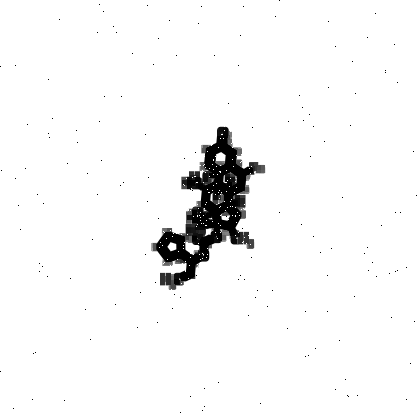 CCC(OC(=O)O[C@]1(C(=O)O)[C@H](C)C[C@H]2[C@@H]3C[C@H](F)C4=CC(=O)C=C[C@]4(C)[C@@]3(F)[C@@H](O)C[C@@]21C)C1CCCC1